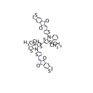 C[Si]1(C)c2ccccc2N(c2ccc(/C=C3\C(=O)c4cc5ccsc5cc4C3=O)s2)c2sc(-c3cc4c(s3)N(c3ccc(/C=C5\C(=O)c6cc7ccsc7cc6C5=O)s3)c3sccc3[Si]4(C)C)cc21